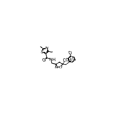 CCOC(=O)C1(Cc2cccc(Cl)c2)CC(CNC(=O)c2sc(C)nc2C)=NO1